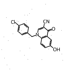 N#Cc1cn(Cc2ccc(Cl)cc2)c2ccc(O)cc2c1=O